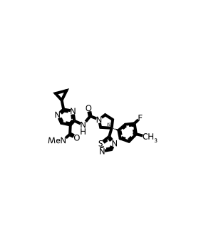 CNC(=O)c1cnc(C2CC2)nc1NC(=O)N1CC[C@@](c2ccc(C)c(F)c2)(c2ncns2)C1